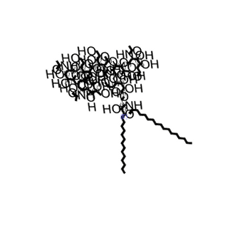 CCCCCCCCCCCCC/C=C/[C@@H](O)[C@H](CO[C@@H]1OC(CO)[C@@H](O[C@@H]2OC(CO)[C@H](O[C@@H]3OC(CO)[C@H](O)[C@H](O)C3NC(C)=O)[C@H](O[C@@H]3OC(CO)[C@@H](O)[C@H](O[C@@H]4OC(CO)[C@H](O[C@@H]5OC(CO)[C@H](O)[C@H](O)C5NC(C)=O)[C@H](O[C@]5(C(=O)O)CC(O)[C@@H](NC(C)=O)C([C@H](O)[C@H](O)CO)O5)C4O)C3NC(C)=O)C2O)[C@H](O)C1O)NC(=O)CCCCCCCCCCCCCCC